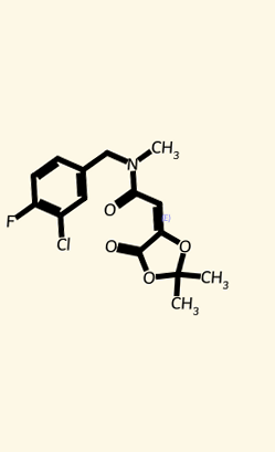 CN(Cc1ccc(F)c(Cl)c1)C(=O)/C=C1/OC(C)(C)OC1=O